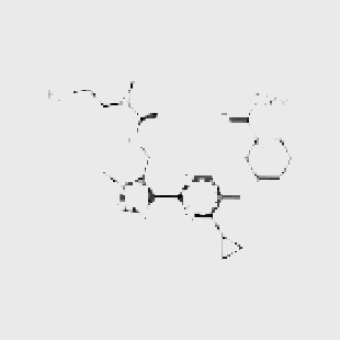 COC(=O)[C@H]1CCC[C@H](Oc2cnc(-c3nnn(C)c3COC(=O)N(C)CCC(F)(F)F)nc2C2CC2)C1